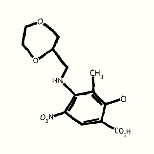 Cc1c(Cl)c(C(=O)O)cc([N+](=O)[O-])c1NCC1COCCO1